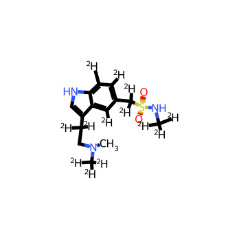 [2H]c1c(C([2H])([2H])S(=O)(=O)NC([2H])([2H])[2H])c([2H])c2c(C([2H])([2H])CN(C)C([2H])([2H])[2H])c[nH]c2c1[2H]